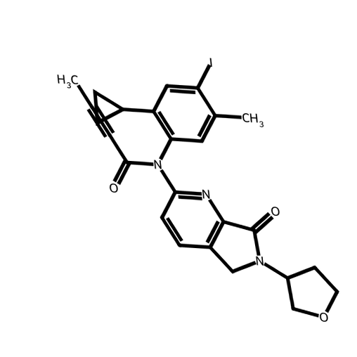 CC#CC(=O)N(c1ccc2c(n1)C(=O)N(C1CCOC1)C2)c1cc(C)c(I)cc1C1CC1